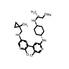 COC[C@@H](C)N[C@H]1CC[C@H](Nc2cc(-c3cc(NCC4(C)CC4)cnc3Cl)c(Cl)cn2)CC1